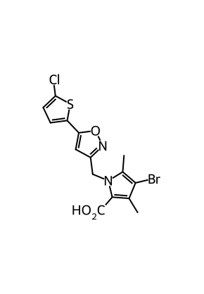 Cc1c(Br)c(C)n(Cc2cc(-c3ccc(Cl)s3)on2)c1C(=O)O